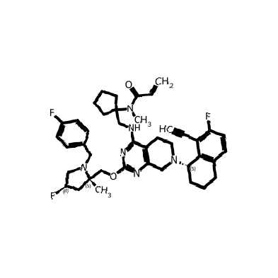 C#Cc1c(F)ccc2c1[C@@H](N1CCc3c(nc(OC[C@]4(C)C[C@@H](F)CN4Cc4ccc(F)cc4)nc3NCC3(N(C)C(=O)C=C)CCCC3)C1)CCC2